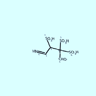 N=[C]C(C([C]=O)(S(=O)(=O)O)S(=O)(=O)O)S(=O)(=O)O